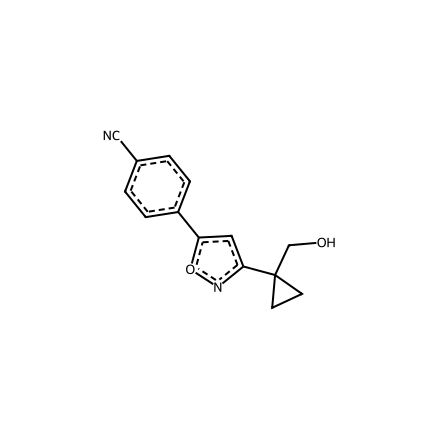 N#Cc1ccc(-c2cc(C3(CO)CC3)no2)cc1